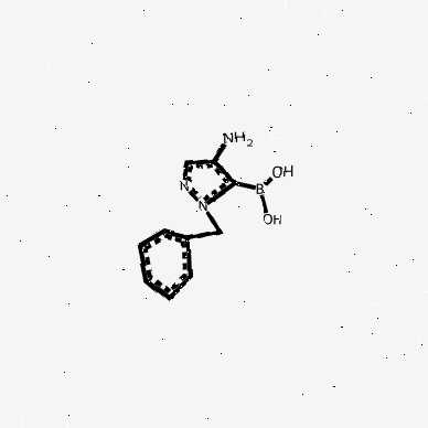 Nc1cnn(Cc2ccccc2)c1B(O)O